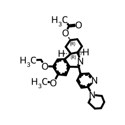 CCOc1cc2c(cc1OC)C(c1ccc(N3CCCCC3)nc1)=N[C@@H]1CC[C@@H](OC(C)=O)C[C@H]21